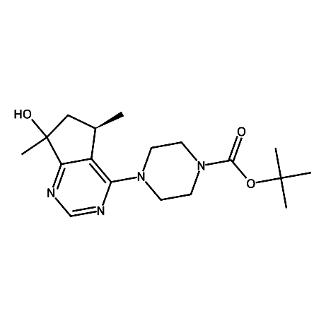 C[C@@H]1CC(C)(O)c2ncnc(N3CCN(C(=O)OC(C)(C)C)CC3)c21